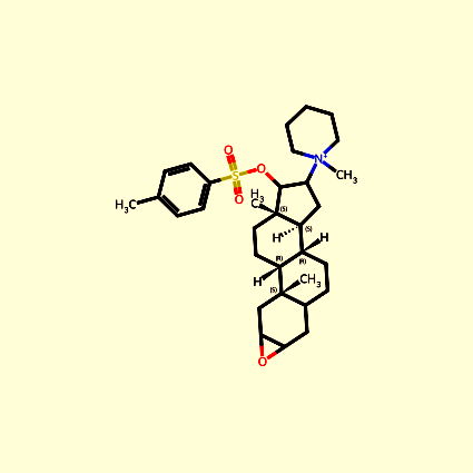 Cc1ccc(S(=O)(=O)OC2C([N+]3(C)CCCCC3)C[C@H]3[C@@H]4CCC5CC6OC6C[C@]5(C)[C@@H]4CC[C@]23C)cc1